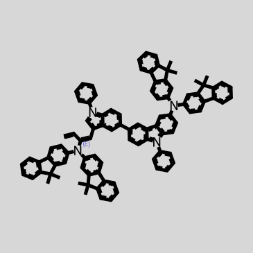 C=C/C(=C\c1cn(-c2ccccc2)c2ccc(-c3ccc4c(c3)c3cc(N(c5ccc6c(c5)C(C)(C)c5ccccc5-6)c5ccc6c(c5)C(C)(C)c5ccccc5-6)ccc3n4-c3ccccc3)cc12)N(c1ccc2c(c1)C(C)(C)c1ccccc1-2)c1ccc2c(c1)C(C)(C)c1ccccc1-2